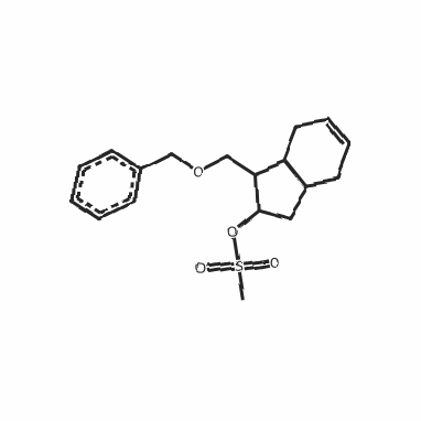 CS(=O)(=O)OC1CC2CC=CCC2C1COCc1ccccc1